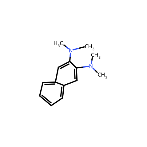 CN(C)c1cc2ccccc2cc1N(C)C